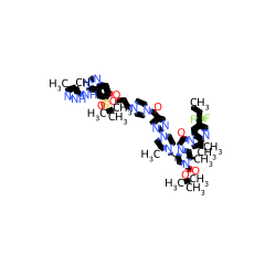 CCCC(F)(F)c1cnc2c(c1)N(C(=O)CN1C[C@@H](C)N(C(=O)OC(C)(C)C)C[C@@H]1CN1CCN(c3ncc(C(=O)N4CCN(CCCOc5cc6ncnc(Nc7[nH]nc(C)c7C)c6cc5S(=O)(=O)C(C)(C)C)CC4)cn3)CC1C)CC2(C)C